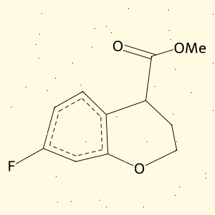 COC(=O)C1CCOc2cc(F)ccc21